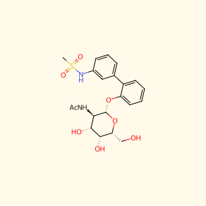 CC(=O)N[C@H]1[C@H](Oc2ccccc2-c2cccc(NS(C)(=O)=O)c2)O[C@H](CO)[C@H](O)[C@@H]1O